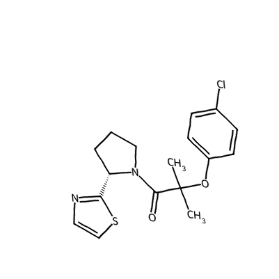 CC(C)(Oc1ccc(Cl)cc1)C(=O)N1CCC[C@H]1c1nccs1